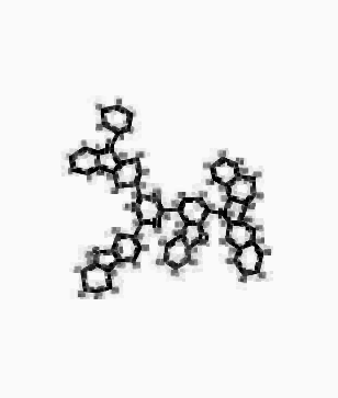 c1ccc(-n2c3ccccc3c3cc(-c4nc(-c5ccc6c(c5)sc5ccccc56)nc(-c5ccc(-n6c7cc8ccccc8cc7c7ccc8ccccc8c76)c6oc7ccccc7c56)n4)ccc32)cc1